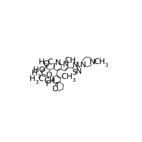 Cc1nc2c(cc(-c3nc(N4CCCN(C)CC4)ns3)n2C)c(-c2cc(F)c3c(c2C)CCCO3)c1[C@H](OC(C)(C)C)C(=O)O